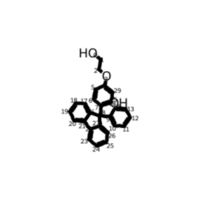 OCCOc1ccc(C2(c3ccccc3O)c3ccccc3-c3ccccc32)cc1